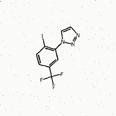 FC(F)(F)c1ccc(I)c(-n2ccnn2)c1